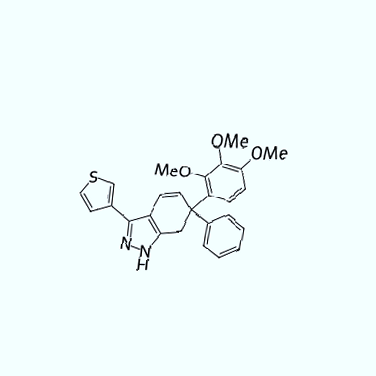 COc1ccc(C2(c3ccccc3)C=Cc3c(-c4ccsc4)n[nH]c3C2)c(OC)c1OC